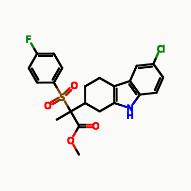 COC(=O)C(C)(C1CCc2c([nH]c3ccc(Cl)cc23)C1)S(=O)(=O)c1ccc(F)cc1